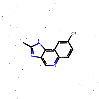 Cc1nc2cnc3ccc(C#N)cc3c2[nH]1